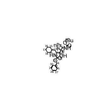 CCCC(NC(=O)OC(C)(C)C)C(F)(F)C(O)C(CC1CCCCC1)NC(=O)OCc1ccccc1